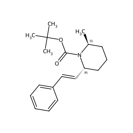 C[C@H]1CCC[C@H](C=Cc2ccccc2)N1C(=O)OC(C)(C)C